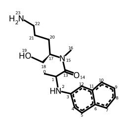 CC(Nc1ccc2ccccc2c1)C(=O)N(C)[C@@H](CO)CCCN